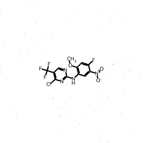 COc1cc(F)c([N+](=O)[O-])cc1Nc1ncc(C(F)(F)F)c(Cl)n1